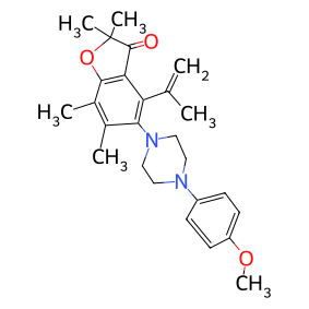 C=C(C)c1c2c(c(C)c(C)c1N1CCN(c3ccc(OC)cc3)CC1)OC(C)(C)C2=O